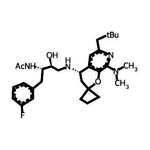 CC(=O)N[C@@H](Cc1cccc(F)c1)[C@@H](O)CN[C@H]1CC2(CCC2)Oc2c1cc(CC(C)(C)C)nc2N(C)C